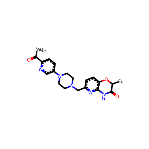 CCC1Oc2ccc(CN3CCN(c4ccc(C(=O)NC)nc4)CC3)nc2NC1=O